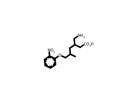 CC(COc1ccccc1[N+](=O)[O-])CC(CN)CC(=O)O